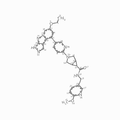 CCOc1cc(-c2ccc(N3CC4C(C3)C4C(=O)NCc3ccc(OC)nc3)nc2)c2c3cn[nH]c3nn2c1